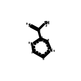 S=C(S)c1cnccn1